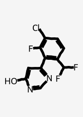 Oc1cc(-c2c(C(F)F)ccc(Cl)c2F)ncn1